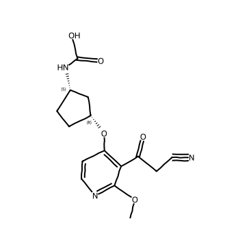 COc1nccc(O[C@@H]2CC[C@H](NC(=O)O)C2)c1C(=O)CC#N